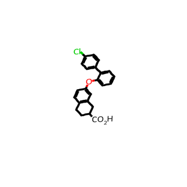 O=C(O)C1CCc2ccc(Oc3ccccc3-c3ccc(Cl)cc3)cc2C1